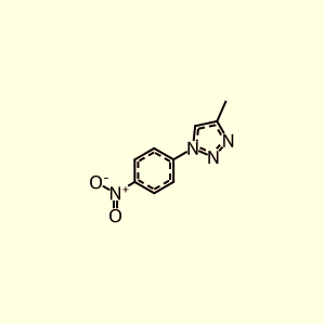 Cc1cn(-c2ccc([N+](=O)[O-])cc2)nn1